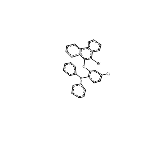 Clc1ccc(P(c2ccccc2)c2ccccc2)c(Oc2c(Br)c3ccccc3c3ccccc23)c1